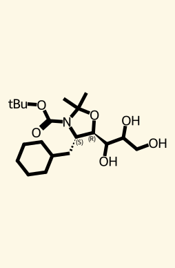 CC(C)(C)OC(=O)N1[C@@H](CC2CCCCC2)[C@H](C(O)C(O)CO)OC1(C)C